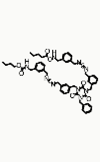 CCCCOC(=O)NCc1cccc(CN=C=NCc2cccc(Cn3c(=O)n(Cc4ccccc4)c(=O)n(Cc4cccc(CN=C=NCc5cccc(CNOC(=O)CCCC)c5)c4)c3=O)c2)c1